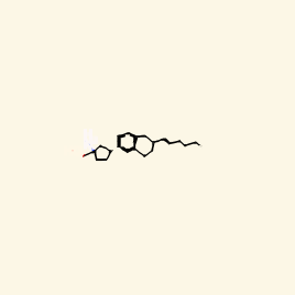 CCCC/C=C/C1CCc2cc([C@H]3CC[C@](N)(CO)C3)ccc2C1